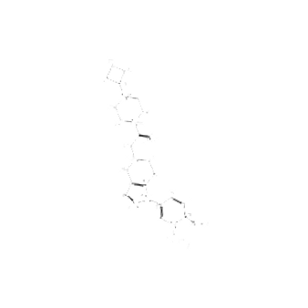 CN1C=C(n2ncc3c2CCN(CC(=O)N2CCN(C4CCC4)CC2)C3)C=CC1O